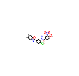 COc1ccc(C(=O)Nc2cc(-c3nc4cc(C)c(C)cc4o3)ccc2Cl)cc1[N+](=O)[O-]